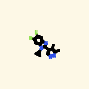 Cc1nncc(-c2nc3cc(F)c(F)cc3n2C2CC2)c1C